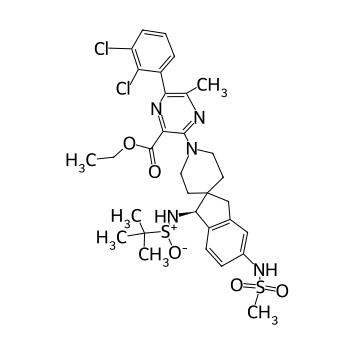 CCOC(=O)c1nc(-c2cccc(Cl)c2Cl)c(C)nc1N1CCC2(CC1)Cc1cc(NS(C)(=O)=O)ccc1[C@H]2N[S+]([O-])C(C)(C)C